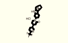 Cl.O=c1cc(-c2ccc(C(F)(F)F)nc2)ccn1-c1ccc2c3c([nH]c2c1)CC1CCC3N1